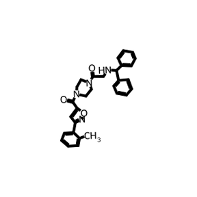 Cc1ccccc1-c1cc(C(=O)N2CCN(C(=O)CNC(c3ccccc3)c3ccccc3)CC2)on1